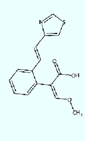 COC=C(C(=O)O)c1ccccc1C=Cc1cscn1